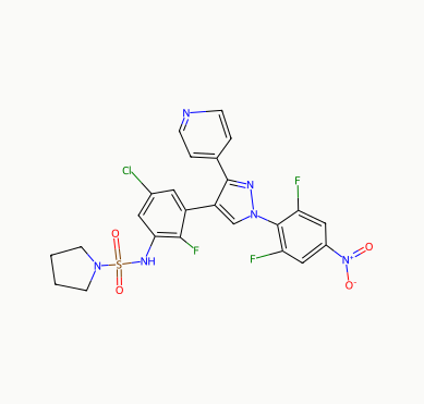 O=[N+]([O-])c1cc(F)c(-n2cc(-c3cc(Cl)cc(NS(=O)(=O)N4CCCC4)c3F)c(-c3ccncc3)n2)c(F)c1